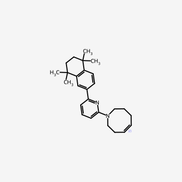 CC1(C)CCC(C)(C)c2cc(-c3cccc(N4CC/C=C\CCC4)n3)ccc21